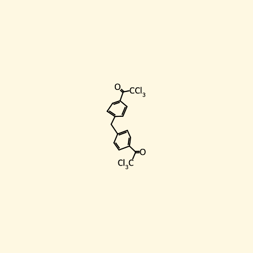 O=C(c1ccc(Cc2ccc(C(=O)C(Cl)(Cl)Cl)cc2)cc1)C(Cl)(Cl)Cl